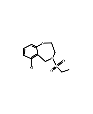 CCS(=O)(=O)N1CCSc2cccc(Cl)c2C1